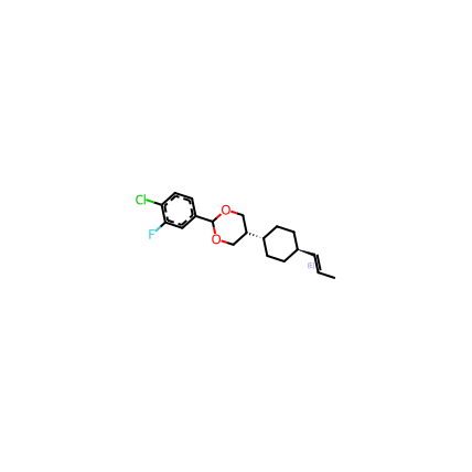 C/C=C/[C@H]1CC[C@H](C2COC(c3ccc(Cl)c(F)c3)OC2)CC1